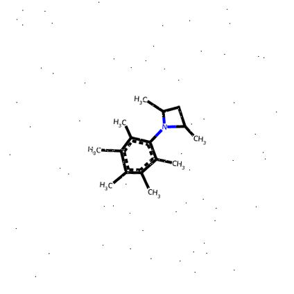 Cc1c(C)c(C)c(N2C(C)CC2C)c(C)c1C